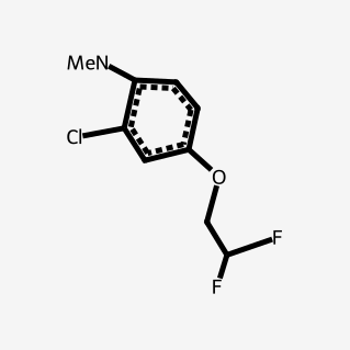 CNc1ccc(OCC(F)F)cc1Cl